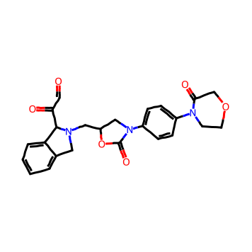 O=CC(=O)C1c2ccccc2CN1CC1CN(c2ccc(N3CCOCC3=O)cc2)C(=O)O1